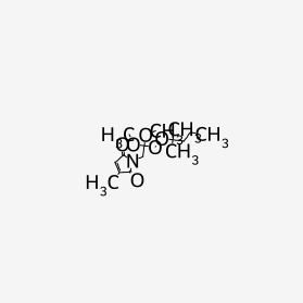 CCCC(C)(C)OOC(CN1C(=O)C=C(C)C1=O)(OC)OC